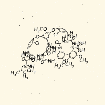 CN[C@@H](CC(C)C)C(=O)N[C@H]1C(=O)N[C@@H](CC(N)=O)C(=O)N[C@H]2C(=O)N[C@H]3C(=O)N[C@H](C(=O)N[C@@H](B(O)O)c4cc(OC)cc(OC)c4-c4cc3ccc4OC)[C@H](O)c3ccc(c(Cl)c3)Oc3cc2cc(c3OC)Oc2ccc(cc2Cl)[C@H]1O